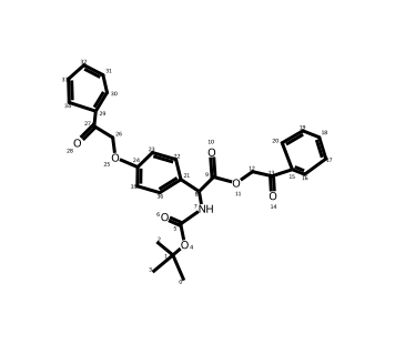 CC(C)(C)OC(=O)NC(C(=O)OCC(=O)c1ccccc1)c1ccc(OCC(=O)c2ccccc2)cc1